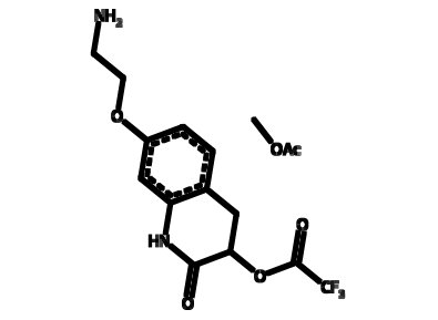 COC(C)=O.NCCOc1ccc2c(c1)NC(=O)C(OC(=O)C(F)(F)F)C2